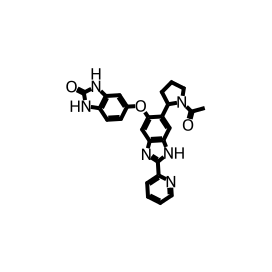 CC(=O)N1CCCC1c1cc2[nH]c(-c3ccccn3)nc2cc1Oc1ccc2[nH]c(=O)[nH]c2c1